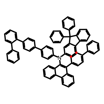 c1ccc(-c2ccc(-c3c(N(c4ccc(-c5ccc(-c6ccccc6-c6ccccc6)cc5)cc4)c4ccc5c(c4)C(c4ccccc4)(c4ccccc4)c4ccccc4-5)c4ccccc4c4ccccc34)cc2)cc1